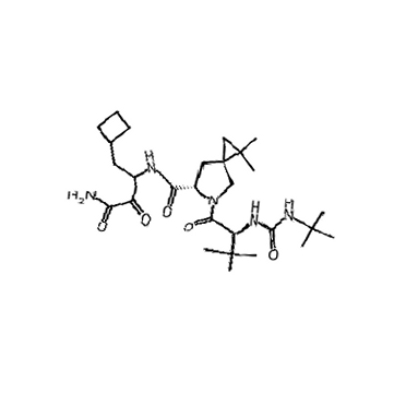 CC(C)(C)NC(=O)N[C@H](C(=O)N1C[C@@]2(C[C@H]1C(=O)NC(CC1CCC1)C(=O)C(N)=O)CC2(C)C)C(C)(C)C